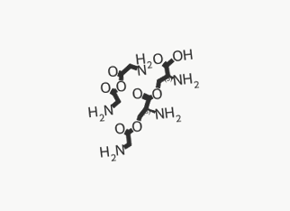 NCC(=O)OC(=O)CN.NCC(=O)OC[C@H](N)C(=O)OC[C@H](N)C(=O)O